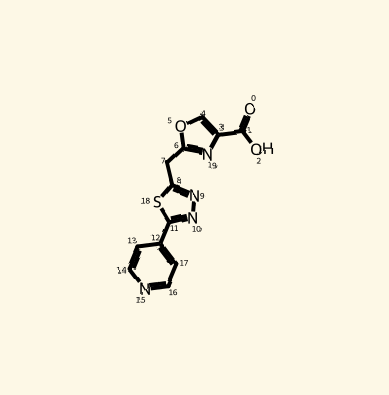 O=C(O)c1coc(Cc2nnc(-c3ccncc3)s2)n1